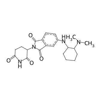 CN(C)C1CCCCC1Nc1ccc2c(c1)C(=O)N(C1CCC(=O)NC1=O)C2=O